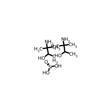 CC(O)C(C)(C)N.CC(O)C(C)(C)N.O=[Si](O)O